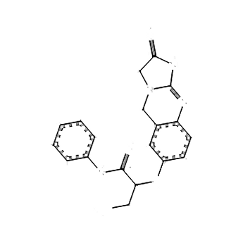 O=C(O)CC(Oc1ccc2c(c1)CN1CC(=O)NC1=N2)C(=O)Nc1ccccc1